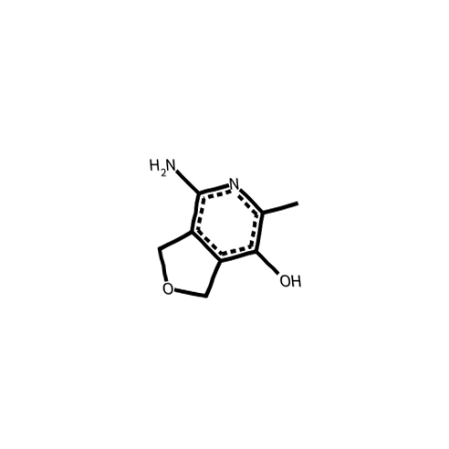 Cc1nc(N)c2c(c1O)COC2